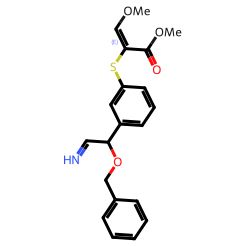 CO/C=C(/Sc1cccc(C(C=N)OCc2ccccc2)c1)C(=O)OC